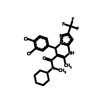 CC1=C(C(=O)N(C)C2CCCCC2)C(c2ccc(Cl)c(Cl)c2)n2nc(C(F)(F)F)cc2N1